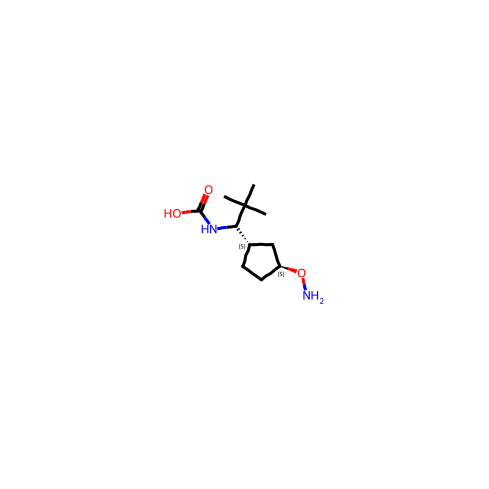 CC(C)(C)C(NC(=O)O)[C@H]1CC[C@H](ON)C1